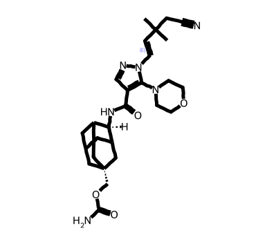 CC(C)(/C=C/n1ncc(C(=O)N[C@H]2C3CC4CC2C[C@](COC(N)=O)(C4)C3)c1N1CCOCC1)CC#N